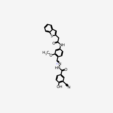 COc1cc(NC(=O)Cc2cc3ccccc3s2)ccc1/C=N/NC(=O)c1ccc(O)c(C#N)c1